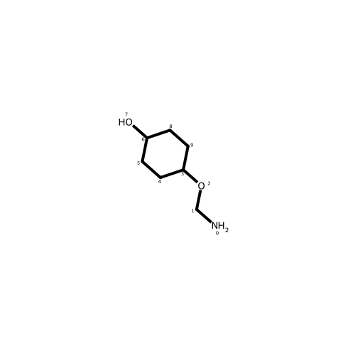 NCOC1CCC(O)CC1